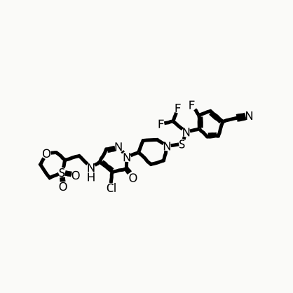 N#Cc1ccc(N(SN2CCC(n3ncc(NCC4COCCS4(=O)=O)c(Cl)c3=O)CC2)C(F)F)c(F)c1